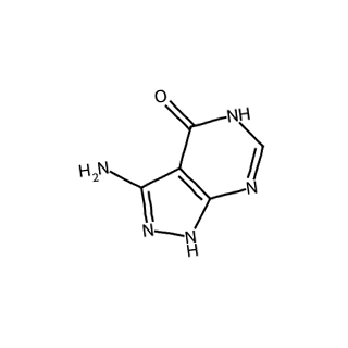 Nc1n[nH]c2nc[nH]c(=O)c12